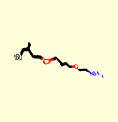 CC(CCOCCCCOCCN)CC(C)(C)C